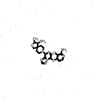 CC1OCC2(CCN(c3ncc(Sc4ccnc(N)c4Cl)n4ncnc34)CC2)C1N